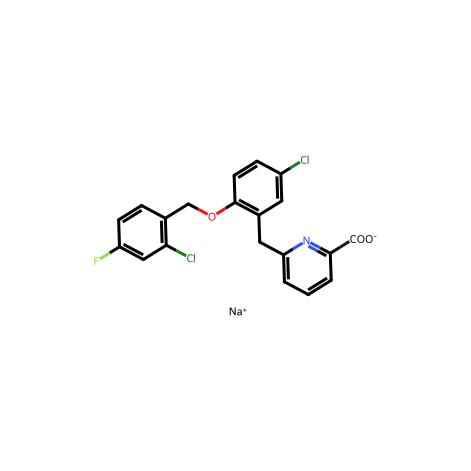 O=C([O-])c1cccc(Cc2cc(Cl)ccc2OCc2ccc(F)cc2Cl)n1.[Na+]